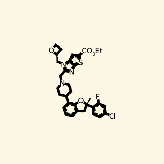 CCOC(=O)c1cc2c(nc(CN3CCC(c4cccc5c4O[C@](C)(c4ccc(Cl)cc4F)C5)CC3)n2C[C@@H]2CCO2)s1